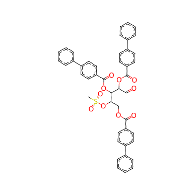 CS(=O)(=O)OC(COC(=O)c1ccc(-c2ccccc2)cc1)C(OC(=O)c1ccc(-c2ccccc2)cc1)C(C=O)OC(=O)c1ccc(-c2ccccc2)cc1